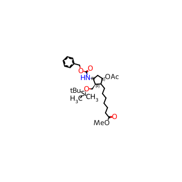 COC(=O)CCCCCCC1[C@@H](OC(C)=O)C[C@@H](NC(=O)OCc2ccccc2)[C@@H]1CO[Si](C)(C)C(C)(C)C